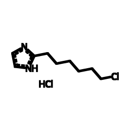 Cl.ClCCCCCCc1ncc[nH]1